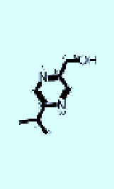 CC(C)c1cnc(CO)cn1